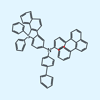 c1ccc(-c2ccc(N(c3ccc(-c4cccc5cccc(-c6ccccc6)c45)cc3)c3ccc4c(c3)-c3ccc5ccccc5c3S4(c3ccccc3)c3ccccc3)cc2)cc1